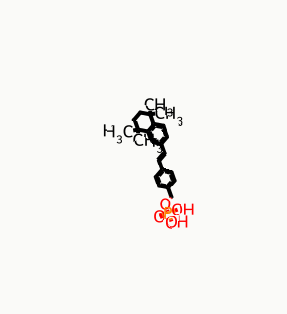 CC1(C)CCC(C)(C)c2cc(C=Cc3ccc(COP(=O)(O)O)cc3)ccc21